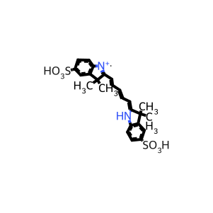 CC1(C)C(C=CC=CC=C2Nc3ccc(S(=O)(=O)O)cc3C2(C)C)=[N+]c2ccc(S(=O)(=O)O)cc21